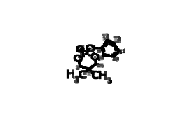 CC1(C)COP(=O)(Oc2ccccc2)OC1